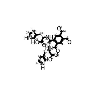 O=[C]c1cc(C(=O)N[C@@H](Cc2c[nH]cn2)C(=O)O)c(C(=O)N[C@@H](Cc2c[nH]cn2)C(=O)O)cc1[C]=O